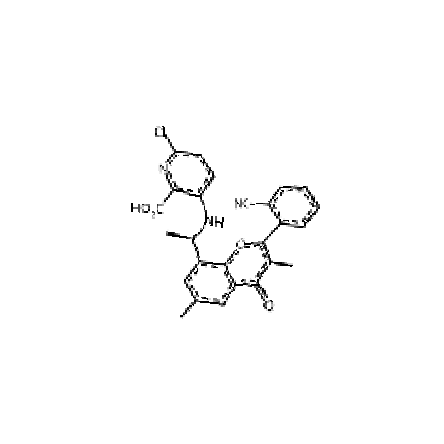 Cc1cc([C@@H](C)Nc2ccc(Cl)nc2C(=O)O)c2oc(-c3ccccc3C#N)c(C)c(=O)c2c1